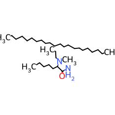 CCCCCC(C(N)=O)N(C)CCC.CCCCCCCCCCCCCCCCCCCCCC